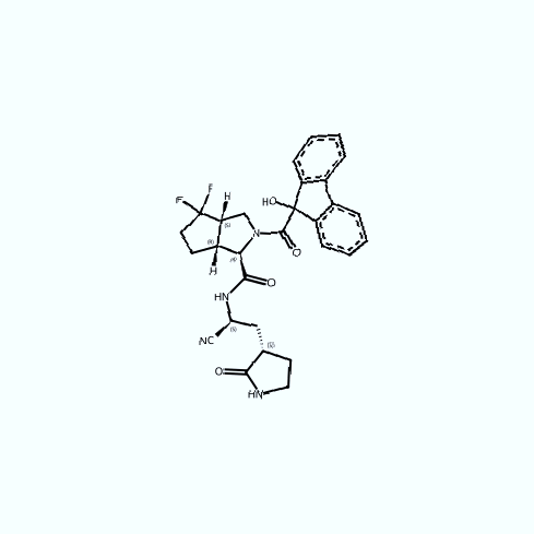 N#C[C@H](C[C@@H]1CCNC1=O)NC(=O)[C@H]1[C@@H]2CCC(F)(F)[C@@H]2CN1C(=O)C1(O)c2ccccc2-c2ccccc21